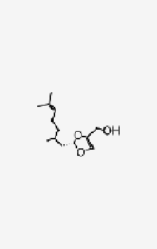 CC(C)=CCCC(C)C[C@H]1OC=C(CO)O1